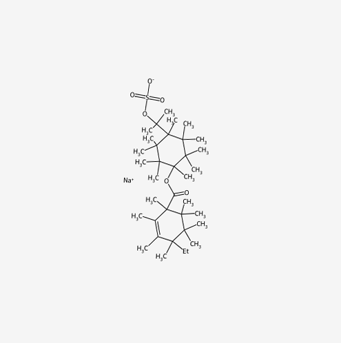 CCC1(C)C(C)=C(C)C(C)(C(=O)OC2(C)C(C)(C)C(C)(C)C(C)(C(C)(C)OS(=O)(=O)[O-])C(C)(C)C2(C)C)C(C)(C)C1(C)C.[Na+]